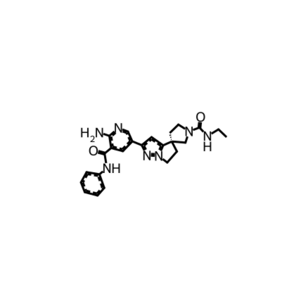 CCNC(=O)N1CC[C@@]2(CCn3nc(-c4cnc(N)c(C(=O)Nc5ccccc5)c4)cc32)C1